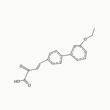 CCOc1cccc(-c2ccc(/C=C/C(=O)C(=O)O)cc2)c1